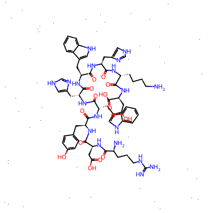 N=C(N)NCCC[C@H](N)C(=O)N[C@@H](CC(=O)O)C(=O)N[C@@H](Cc1ccc(O)cc1)C(=O)N[C@@H](Cc1c[nH]c2ccccc12)C(=O)N[C@H](Cc1c[nH]cn1)C(=O)N[C@@H](Cc1c[nH]c2ccccc12)C(=O)N[C@@H](Cc1c[nH]cn1)C(=O)N[C@H](CCCCN)C(=O)N[C@@H](CC(=O)O)C(=O)O